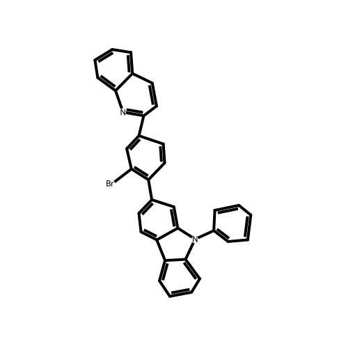 Brc1cc(-c2ccc3ccccc3n2)ccc1-c1ccc2c3ccccc3n(-c3ccccc3)c2c1